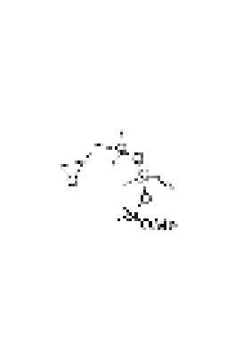 C=C[Si](C)(O[Si](C)(C)CC1CO1)O[Si](C)(C)OC